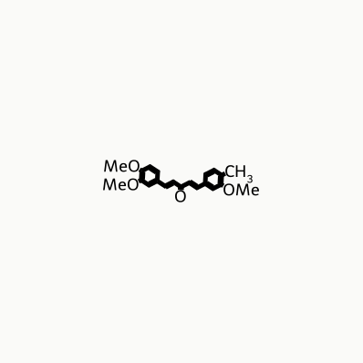 COc1cc(C=CC(=O)C=Cc2ccc(OC)c(OC)c2)ccc1C